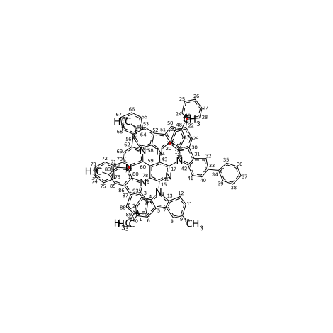 Cc1ccc2c(c1)c1cc(C)ccc1n2-c1nc(-n2c3ccc(-c4ccccc4)cc3c3cc(-c4ccccc4)ccc32)c(-n2c3ccc(C)cc3c3cc(C)ccc32)c(-c2nc(-c3ccccc3)cc(-c3ccccc3)n2)c1-n1c2ccc(C)cc2c2cc(C)ccc21